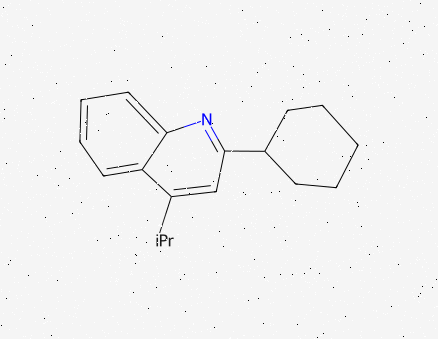 CC(C)c1cc(C2CCCCC2)nc2ccccc12